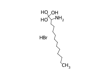 Br.CCCCCCCCCCCCC(N)C(O)(O)O